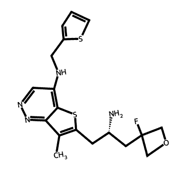 Cc1c(C[C@H](N)CC2(F)COC2)sc2c(NCc3cccs3)cnnc12